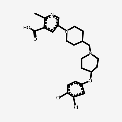 Cc1ncc(N2CCC(CN3CCC(Oc4ccc(Cl)c(Cl)c4)CC3)CC2)cc1C(=O)O